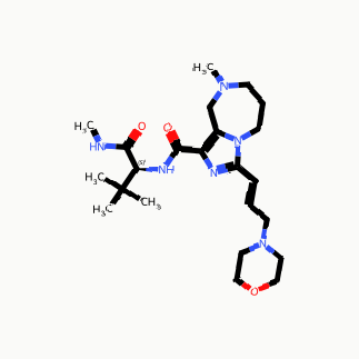 CNC(=O)[C@@H](NC(=O)c1nc(C=CCN2CCOCC2)n2c1CN(C)CCC2)C(C)(C)C